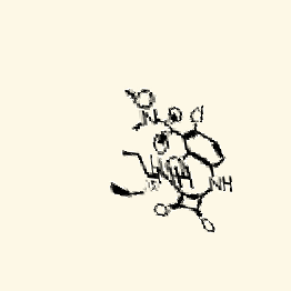 C#CC[C@H](CC)Nc1c(Nc2ccc(Cl)c(S(=O)(=O)N(C)OC)c2O)c(=O)c1=O